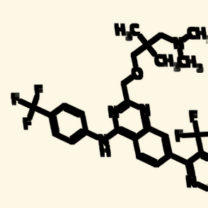 CN(C)CC(C)(C)COCc1nc(Nc2ccc(C(F)(F)F)cc2)c2ccc(-c3ncccc3C(F)(F)F)cc2n1